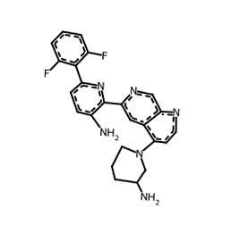 Nc1ccc(-c2c(F)cccc2F)nc1-c1cc2c(N3CCCC(N)C3)ccnc2cn1